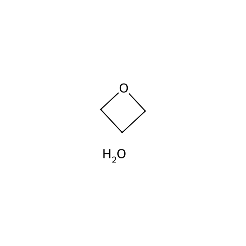 C1COC1.O